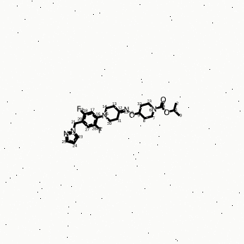 CC(C)OC(=O)N1CCC(ON=C2CCN(c3cc(F)c(Cn4cccn4)cc3F)CC2)CC1